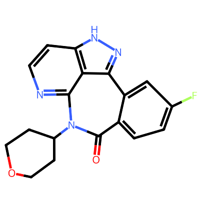 O=C1c2ccc(F)cc2-c2n[nH]c3ccnc(c23)N1C1CCOCC1